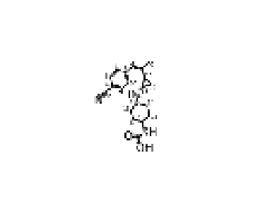 CC(=Cc1ccc(C#N)cc1)C1CC1NC1CCC(NC(=O)O)CC1